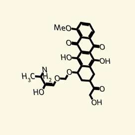 COc1cccc2c1C(=O)c1c(O)c3c(c(O)c1C2=O)CC(C(=O)CO)CC3OCO/C=C(/O)C(C)N